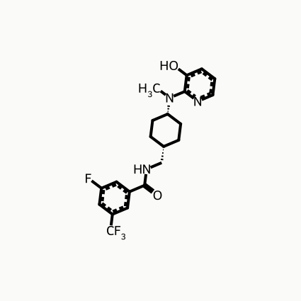 CN(c1ncccc1O)[C@H]1CC[C@@H](CNC(=O)c2cc(F)cc(C(F)(F)F)c2)CC1